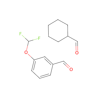 O=CC1CCCCC1.O=Cc1cccc(OC(F)F)c1